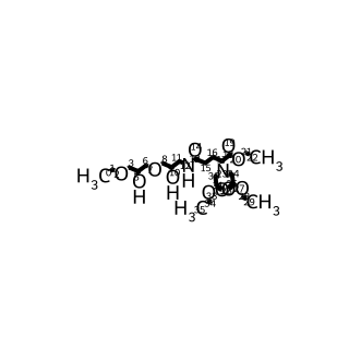 CCOCC(O)COCC(O)CNC(=O)CCC(C(=O)OCC)N(CC(=O)OCC)CC(=O)OCC